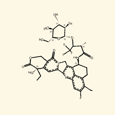 CC[C@@]1(O)C(=O)OCc2c1cc1n(c2=O)Cc2c-1nc1cc(F)c(C)c3c1c2[C@@H](NC(=O)[C@@H](C)C(O[C@@H]1O[C@H](CO)[C@@H](O)[C@H](O)[C@H]1O)C(F)(F)F)CC3